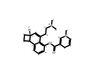 CN1C=CCC(C(=O)Oc2cccc3c2C(CCN(C)C)=C[C@H]2CCC32)=C1